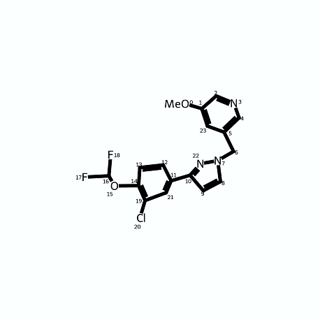 COc1cncc(Cn2ccc(-c3ccc(OC(F)F)c(Cl)c3)n2)c1